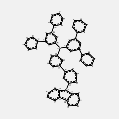 c1ccc(-c2cc(-c3ccccc3)cc(N(c3cccc(-c4cccc(-n5c6ccccc6c6ccccc65)c4)c3)c3cc(-c4ccccc4)cc(-c4ccccc4)c3)c2)cc1